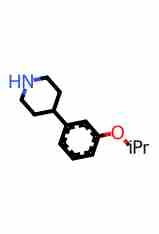 CC(C)Oc1cccc(C2CCNCC2)c1